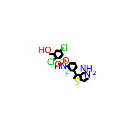 Nc1nccc2scc(-c3cccc(NS(=O)(=O)c4cc(Cl)cc(CO)c4Cl)c3F)c12